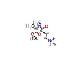 C[C@@H](C(=O)OC(C)(C)C)N(C)C(=O)C=CCN1CCC1